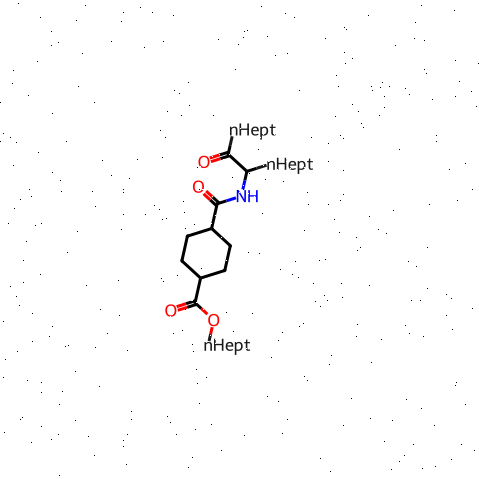 CCCCCCCOC(=O)C1CCC(C(=O)NC(CCCCCCC)C(=O)CCCCCCC)CC1